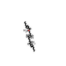 CCCCc1ccc(C(=O)C(N)CCCC2NC(=O)C(CCCC(N)C(=O)c3ccc(CCCC)cn3)NC2=O)nc1